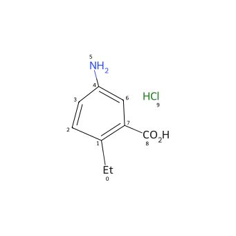 CCc1ccc(N)cc1C(=O)O.Cl